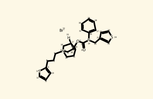 O=C(O[C@H]1C[N+]2(CCCc3cccs3)CCC1CC2)N(Cc1ccsc1)c1ccccc1.[Br-]